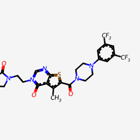 Cc1c(C(=O)N2CCN(c3cc(C(F)(F)F)cc(C(F)(F)F)c3)CC2)sc2ncn(CCN3CCCC3=O)c(=O)c12